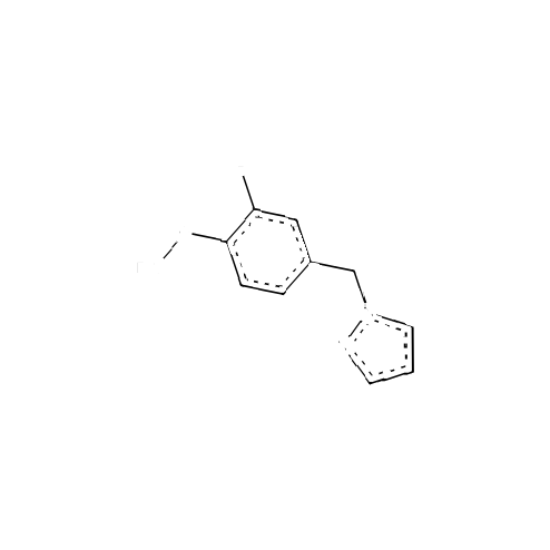 Fc1cc(Cn2cccn2)ccc1OC(F)(F)F